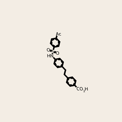 CC(=O)c1ccc(S(=O)(=O)Nc2ccc(CCc3ccc(C(=O)O)cc3)cc2)cc1